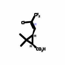 CC1(C)[C@H](C(=O)O)[C@@H]1/C=C(\Cl)C(F)(F)F